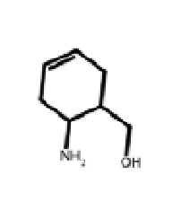 NC1CC=CCC1CO